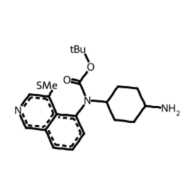 CSc1cncc2cccc(N(C(=O)OC(C)(C)C)C3CCC(N)CC3)c12